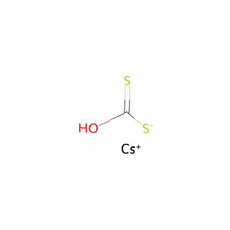 OC(=S)[S-].[Cs+]